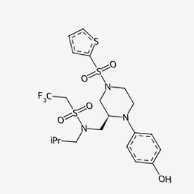 CC(C)CN(C[C@H]1CN(S(=O)(=O)c2cccs2)CCN1c1ccc(O)cc1)S(=O)(=O)CC(F)(F)F